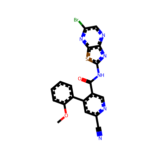 COc1ccccc1-c1cc(C#N)ncc1C(=O)Nc1nc2ncc(Br)nc2s1